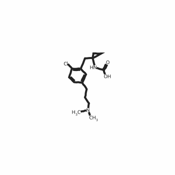 CN(C)CCCc1ccc(Cl)c(CC2(NC(=O)O)CC2)c1